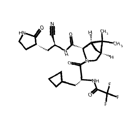 CC1(C)[C@@H]2[C@@H](C(=O)N[C@H](C#N)C[C@@H]3CCNC3=O)N(C(=O)[C@@H](CC3CCC3)NC(=O)C(F)(F)F)C[C@@H]21